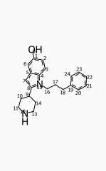 Oc1ccc2c(c1)cc(C1CCNCC1)n2CCCc1ccccc1